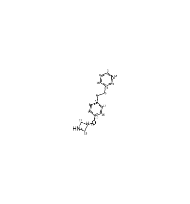 c1cncc(CCc2ccc(OC3CNC3)cc2)c1